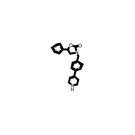 O=C1OC(c2ccccc2)CN1Cc1ccc(C2=CCNCC2)cc1